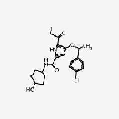 CC(Oc1cc(C(=O)NC2CCC(O)CC2)[nH]c1C(=O)CI)c1ccc(Cl)cc1